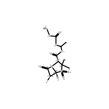 CCCCOC(=O)OC(C)OC(=O)[C@@H]1N2C(=O)[C@H](I)[C@H]2S(=O)(=O)C1(C)C